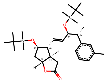 Cc1cccc([C@@H](C)[C@@H](C=C[C@@H]2[C@H]3CC(=O)O[C@H]3C[C@H]2O[Si](C)(C)C(C)(C)C)O[Si](C)(C)C(C)(C)C)c1